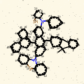 CC1(C)c2ccccc2-c2ccc(-c3c4cc(N(c5ccccc5)c5ccccc5S)ccc4c(-c4cc5ccccc5c5ccccc45)c4cc(N5c6ccccc6Sc6ccccc65)ccc34)cc21